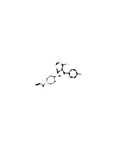 C=CC(=O)N1CCC(n2nc(-c3ccc(Cl)cc3)c3c(N)ncnc32)CC1